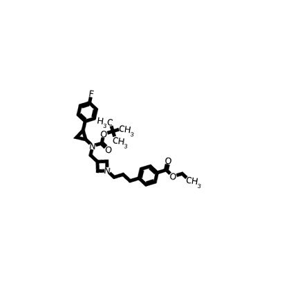 CCOC(=O)c1ccc(CCCN2CC(CN(C(=O)OC(C)(C)C)C3CC3c3ccc(F)cc3)C2)cc1